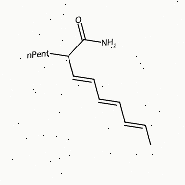 CC=CC=CC=CC(CCCCC)C(N)=O